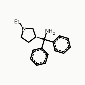 CCN1CC[C@H](C(N)(c2ccccc2)c2ccccc2)C1